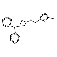 Cc1ccc(COC2CN(C(c3ccccc3)c3ccccc3)C2)s1